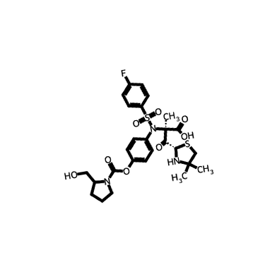 CC1(C)CS[C@@H](C(=O)[C@](C)(C(=O)O)N(c2ccc(OC(=O)N3CCCC3CO)cc2)S(=O)(=O)c2ccc(F)cc2)N1